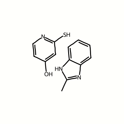 Cc1nc2ccccc2[nH]1.Oc1ccnc(S)c1